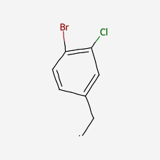 [CH2]Cc1ccc(Br)c(Cl)c1